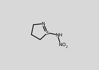 O=[N+]([O-])NS1=NCCC1